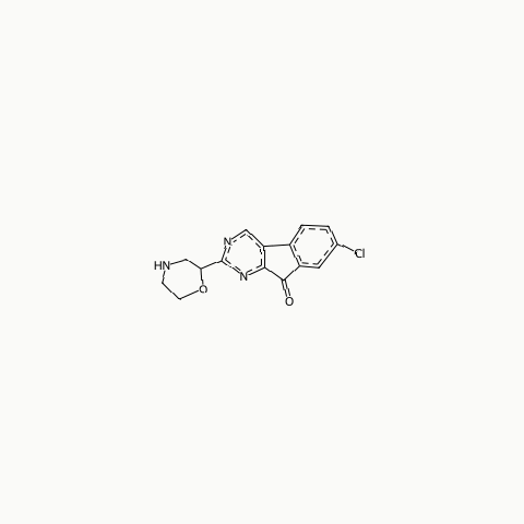 O=C1c2cc(Cl)ccc2-c2cnc(C3CNCCO3)nc21